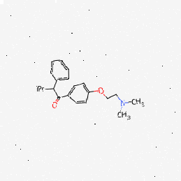 CC(C)C(C(=O)c1ccc(OCCN(C)C)cc1)c1ccccc1